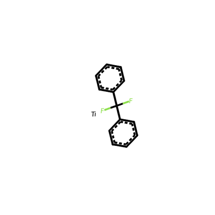 FC(F)(c1ccccc1)c1ccccc1.[Ti]